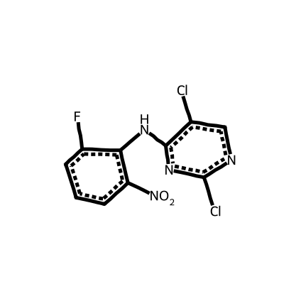 O=[N+]([O-])c1cccc(F)c1Nc1nc(Cl)ncc1Cl